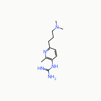 Cc1nc(CCCN(C)C)ccc1NC(=N)N